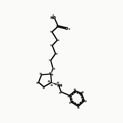 O=C(O)CCCCCC[C@H]1CCC[C@H]1NCc1ccccc1